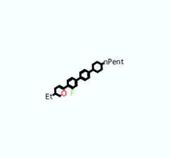 CCCCCC1CCC(c2ccc(-c3ccc(C4=CCC(CC)CO4)c(F)c3)cc2)CC1